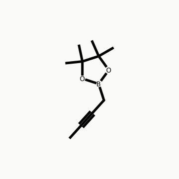 CC#CCB1OC(C)(C)C(C)(C)O1